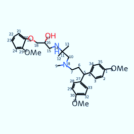 COc1ccc(C(CCN(C)CC(C)(C)NCC(O)COc2ccccc2OC)c2ccc(OC)cc2)cc1